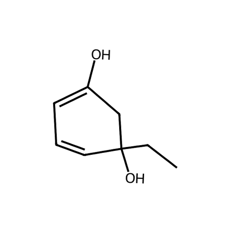 CCC1(O)C=CC=C(O)C1